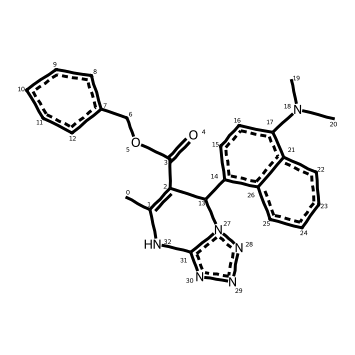 CC1=C(C(=O)OCc2ccccc2)C(c2ccc(N(C)C)c3ccccc23)n2nnnc2N1